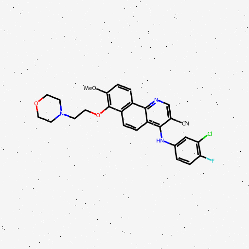 COc1ccc2c(ccc3c(Nc4ccc(F)c(Cl)c4)c(C#N)cnc32)c1OCCN1CCOCC1